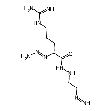 N=NCCNNC(=O)C(CCCNC(=N)N)N=NN